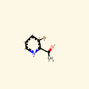 CC(=O)c1ncccc1Br